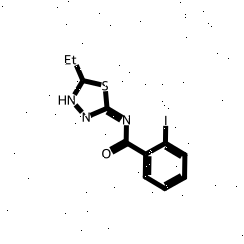 CCC1N[N]C(=NC(=O)c2ccccc2I)S1